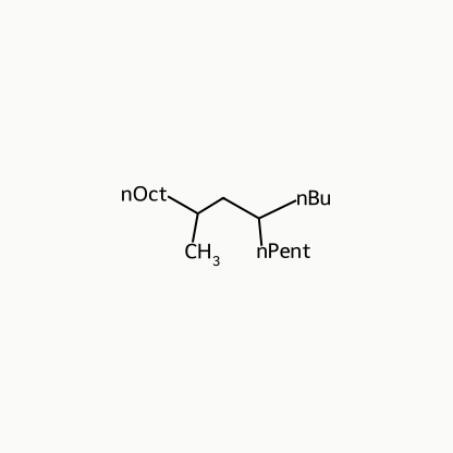 CCCCCCCCC(C)CC(CCCC)CCCCC